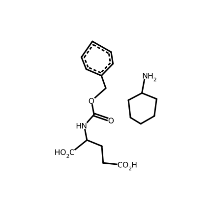 NC1CCCCC1.O=C(O)CCC(NC(=O)OCc1ccccc1)C(=O)O